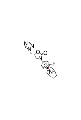 O=C1O[C@@H](Cn2cncn2)CN1c1ccc(N2C3CCC2C[S+]([O-])C3)c(F)c1